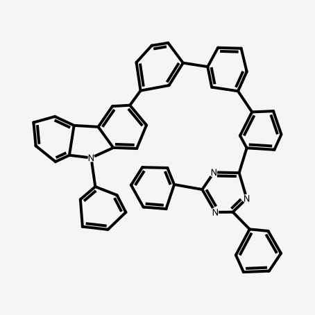 c1ccc(-c2nc(-c3ccccc3)nc(-c3cccc(-c4cccc(-c5cccc(-c6ccc7c(c6)c6ccccc6n7-c6ccccc6)c5)c4)c3)n2)cc1